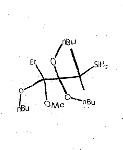 CCCCOC(CC)(OC)C(OCCCC)(OCCCC)C(C)(C)[SiH3]